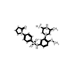 COc1ccc(NS(=O)(=O)c2ccc(N3CCCC3=O)cc2)cc1N1CC(C)NC(C)C1